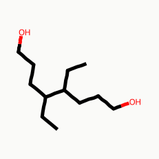 CCC(CCCO)C(CC)CCCO